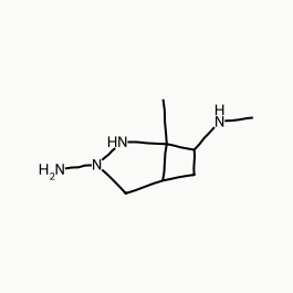 CNC1CC2CN(N)NC21C